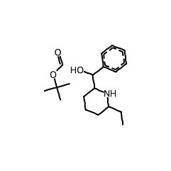 CC(C)(C)OC=O.CCC1CCCC(C(O)c2ccccc2)N1